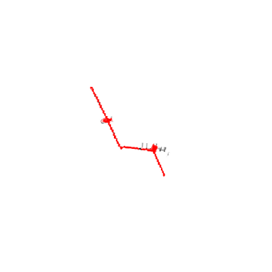 CCCCCCCCCCCCCCCCCCCCCCCC[C@@H](C(=O)OC)[C@@H](CCCCCCCCCCCCCCCCC[C@@H]1C[C@@H]1CCCCCCCCCCCCCCCCCC[C@H](O[Si](C)(C)C(C)(C)C)[C@@H](C)CCCCCCCCCCCCCCCCCC)OC(C)=O